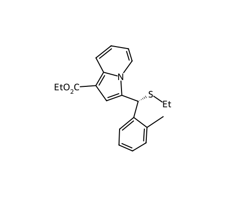 CCOC(=O)c1cc([C@H](SCC)c2ccccc2C)n2ccccc12